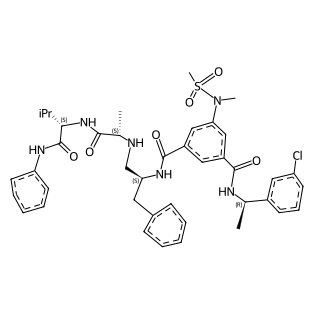 CC(C)[C@H](NC(=O)[C@H](C)NC[C@H](Cc1ccccc1)NC(=O)c1cc(C(=O)N[C@H](C)c2cccc(Cl)c2)cc(N(C)S(C)(=O)=O)c1)C(=O)Nc1ccccc1